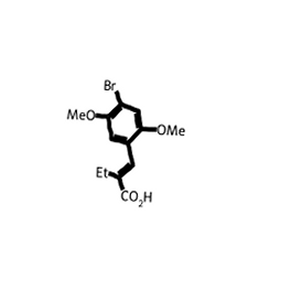 CC/C(=C\c1cc(OC)c(Br)cc1OC)C(=O)O